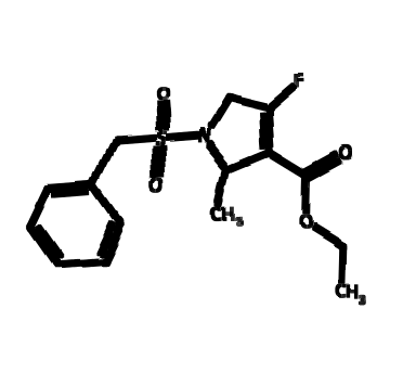 CCOC(=O)C1=C(F)CN(S(=O)(=O)Cc2ccccc2)C1C